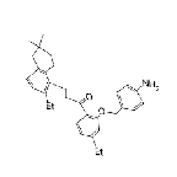 CCc1ccc(C(=O)CCc2c(CC)ccc3c2CCC(C)(C)C3)c(OCc2ccc(N)cc2)c1